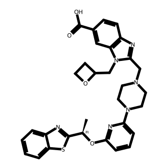 C[C@@H](Oc1cccc(N2CCN(Cc3nc4ccc(C(=O)O)cc4n3CC3CCO3)CC2)n1)c1nc2ccccc2s1